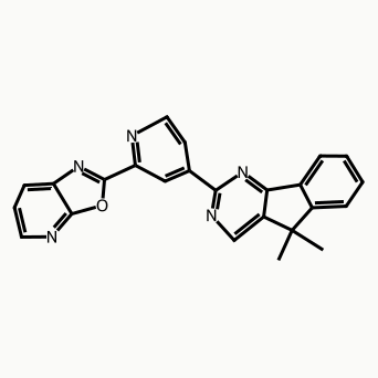 CC1(C)c2ccccc2-c2nc(-c3ccnc(-c4nc5cccnc5o4)c3)ncc21